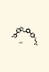 CN(C)CCOc1cnc(-c2cccc(Cn3nnc4ncc(-c5cnn(C)c5)nc43)c2)nc1.Cl